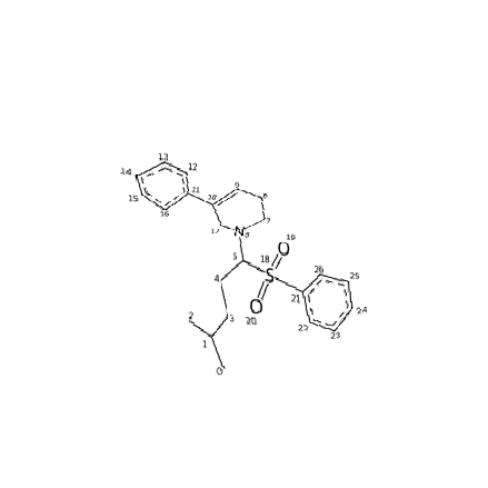 CC(C)CCC(N1CCC=C(c2ccccc2)C1)S(=O)(=O)c1ccccc1